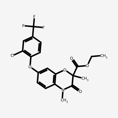 CCOC(=O)C1(C)Oc2cc(Oc3ccc(C(F)(F)F)cc3Cl)ccc2N(C)C1=O